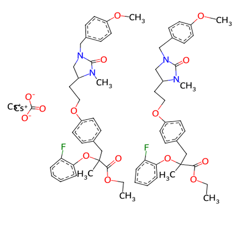 CCOC(=O)C(C)(Cc1ccc(OCCC2CN(Cc3ccc(OC)cc3)C(=O)N2C)cc1)Oc1ccccc1F.CCOC(=O)C(C)(Cc1ccc(OCCC2CN(Cc3ccc(OC)cc3)C(=O)N2C)cc1)Oc1ccccc1F.O=C([O-])[O-].[Cs+].[Cs+]